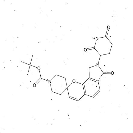 CC(C)(C)OC(=O)N1CCC2(C=Cc3ccc4c(c3O2)CN(C2CCC(=O)NC2=O)C4=O)CC1